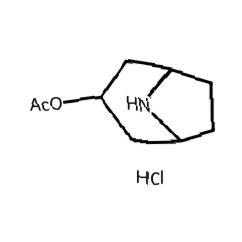 CC(=O)OC1CC2CCC(C1)N2.Cl